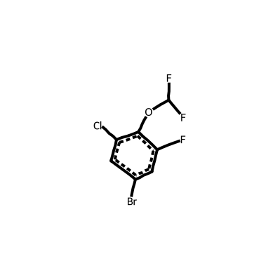 Fc1cc(Br)cc(Cl)c1OC(F)F